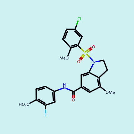 COc1ccc(Cl)cc1S(=O)(=O)N1CCc2c(OC)cc(C(=O)Nc3ccc(C(=O)O)c(F)c3)cc21